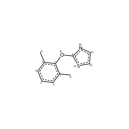 Cc1cccc(C)c1Oc1nc[c]s1